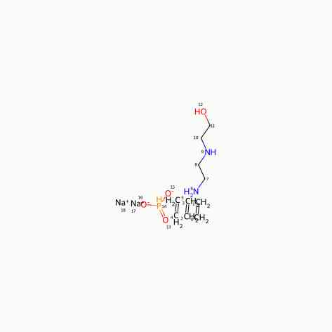 C=C.C=C.C=C.NCCNCCO.O=[PH]([O-])[O-].[Na+].[Na+]